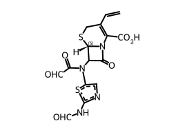 C=CC1=C(C(=O)O)N2C(=O)C(N(C(=O)C=O)c3cnc(NC=O)s3)[C@@H]2SC1